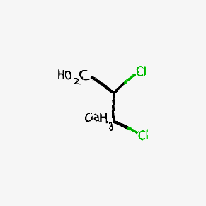 O=C(O)C(Cl)CCl.[GaH3]